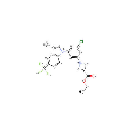 CCOC(=O)C1CN(c2cc(Cl)cc(-n3cc(C)c4cc(C(F)(F)F)ccc43)c2)C1